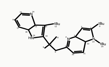 CC(C)(C)C1=CC2N=C(CC(C)(C)C3=C(C(C)(C)C)C4N=CC=CC4N3)C=CC2N1C(C)(C)C